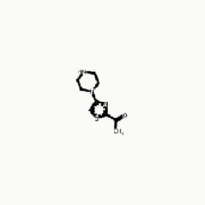 CC(=O)c1nc(N2CCNCC2)cs1